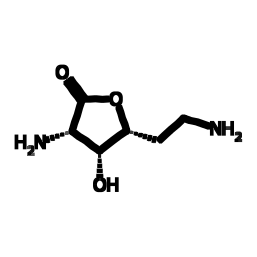 NCC[C@H]1OC(=O)[C@@H](N)[C@H]1O